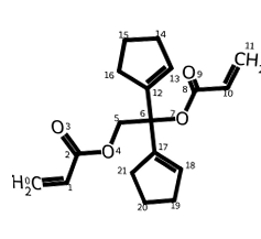 C=CC(=O)OCC(OC(=O)C=C)(C1=CCCC1)C1=CCCC1